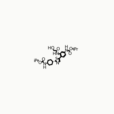 CC(C)OC(=O)Nc1ccc(-c2cnc([C@H]3CC[C@H](NC(=O)OC(C)C)CC3)s2)c(NC(=O)CO)c1